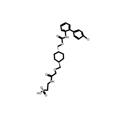 O=C(COC[C@H]1CC[C@H](COC(=O)Nc2ccccc2-c2ccc(Cl)cc2)CC1)NCCS(=O)(=O)O